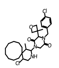 CC1C(N2CC(=O)N(Cc3ccc(Cl)cc3)C(C3(C)COC3)C2=O)NCC(Cl)C12CCCCCCCCC2